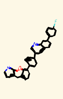 Fc1ccc(-c2ccc3cc(-c4ccc(-c5cccc6c5oc5ncccc56)cc4)cnc3c2)cc1